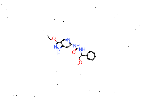 CCOc1n[nH]c2cc(NC(=O)N[C@H](COC)c3ccccc3)ncc12